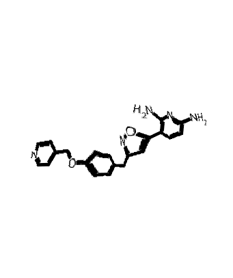 Nc1ccc(-c2cc(Cc3ccc(OCc4ccncc4)cc3)no2)c(N)n1